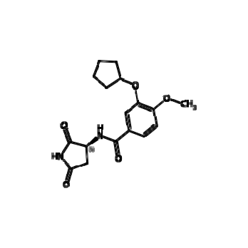 COc1ccc(C(=O)N[C@H]2CC(=O)NC2=O)cc1OC1CCCC1